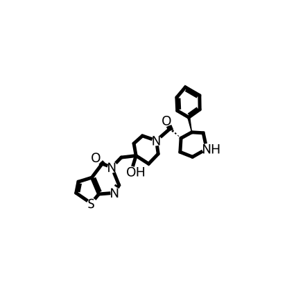 O=C([C@H]1CCNC[C@@H]1c1ccccc1)N1CCC(O)(Cn2cnc3sccc3c2=O)CC1